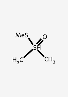 CS[SH](C)(C)=O